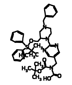 CC(C)(C)OC(=O)N(Cc1cnc(N2CCN(Cc3ccccc3)CC2CO[Si](c2ccccc2)(c2ccccc2)C(C)(C)C)nc1)C(=O)O